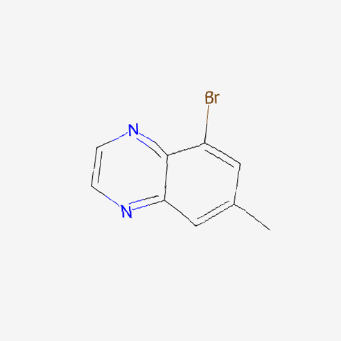 Cc1cc(Br)c2nccnc2c1